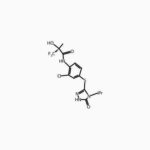 CC(C)n1c(Sc2ccc(NC(=O)[C@@](C)(O)C(F)(F)F)c(Cl)c2)n[nH]c1=O